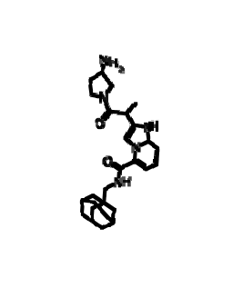 CC(C(=O)N1CC[C@@H](N)C1)C1=CN2C(C(=O)NCC34CC5CC(CC(C5)C3)C4)=CC=CC2N1